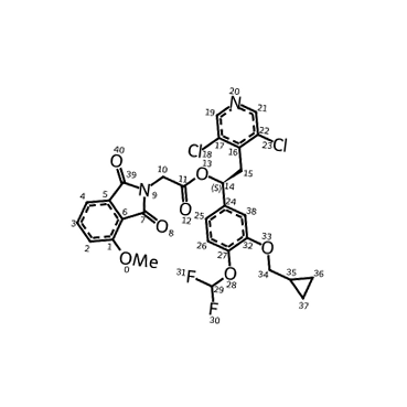 COc1cccc2c1C(=O)N(CC(=O)O[C@@H](Cc1c(Cl)cncc1Cl)c1ccc(OC(F)F)c(OCC3CC3)c1)C2=O